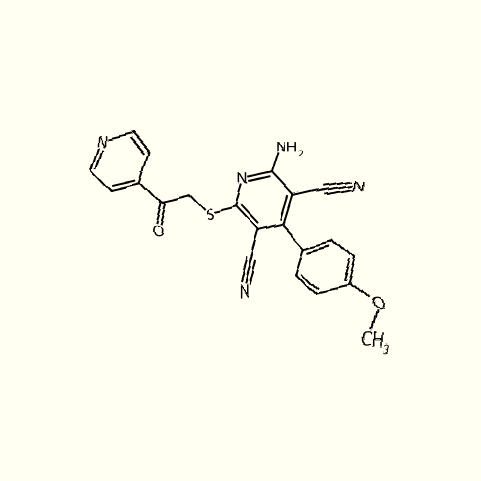 COc1ccc(-c2c(C#N)c(N)nc(SCC(=O)c3ccncc3)c2C#N)cc1